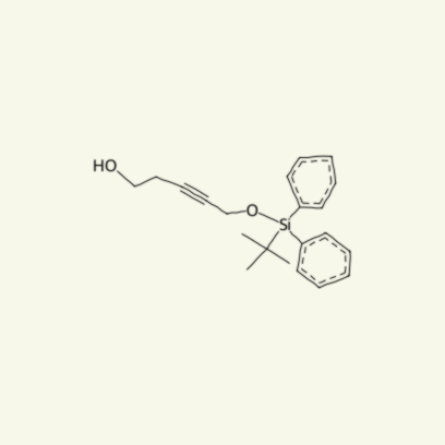 CC(C)(C)[Si](OCC#CCCO)(c1ccccc1)c1ccccc1